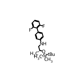 C[C@H](CNc1ccc(-c2c(F)cccc2F)cc1)O[Si](C)(C)C(C)(C)C